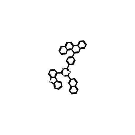 c1ccc2cc(-c3nc(-c4ccc(-c5cc6ccccc6c6ccc7ccccc7c56)cc4)nc(-c4cccc5oc6ccccc6c45)n3)ccc2c1